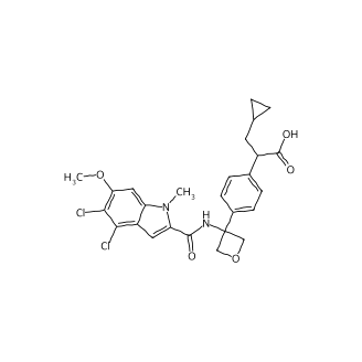 COc1cc2c(cc(C(=O)NC3(c4ccc(C(CC5CC5)C(=O)O)cc4)COC3)n2C)c(Cl)c1Cl